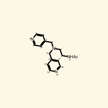 CC(=O)NCCN(Cc1ccncc1)Cc1ccncc1